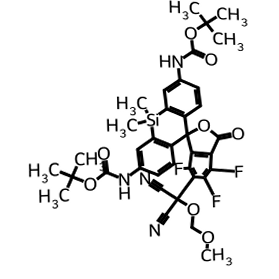 COCOC(C#N)(C#N)c1c(F)c(F)c2c(c1F)C1(OC2=O)c2ccc(NC(=O)OC(C)(C)C)cc2[Si](C)(C)c2cc(NC(=O)OC(C)(C)C)ccc21